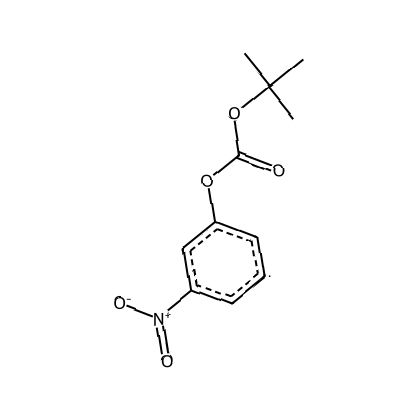 CC(C)(C)OC(=O)Oc1c[c]cc([N+](=O)[O-])c1